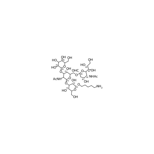 CC(=O)NC1C(O[C@@H]2OC(CO)[C@H](O)C(O)[C@@H]2O)[C@H](O)C(CO[C@]2(C=O)C[C@@H](O)[C@@H](NC(C)=O)C([C@H](O)[C@H](O)CO)O2)O[C@H]1OC1[C@@H](O)C(CO)O[C@@H](OCCCCCN)[C@H]1O